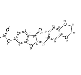 CC(=O)Oc1ccc2c(c1)OC(=Cc1ccc3c(c1)OCCO3)C2=O